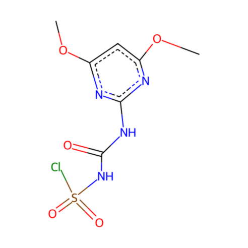 COc1cc(OC)nc(NC(=O)NS(=O)(=O)Cl)n1